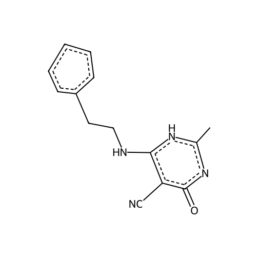 Cc1nc(=O)c(C#N)c(NCCc2ccccc2)[nH]1